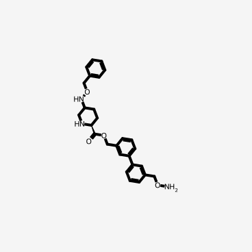 NOCc1cccc(-c2cccc(COC(=O)[C@@H]3CCC(NOCc4ccccc4)CN3)c2)c1